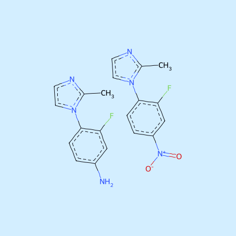 Cc1nccn1-c1ccc(N)cc1F.Cc1nccn1-c1ccc([N+](=O)[O-])cc1F